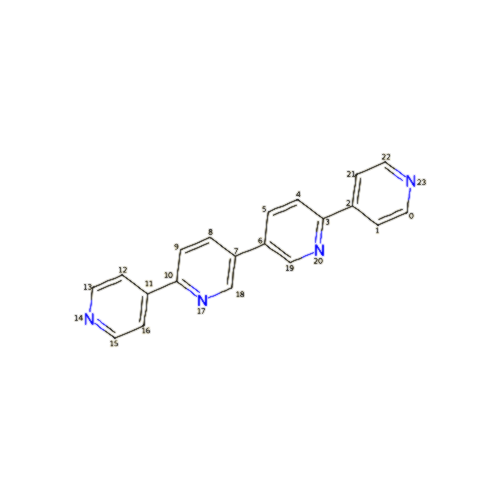 c1cc(-c2ccc(-c3ccc(-c4ccncc4)nc3)cn2)ccn1